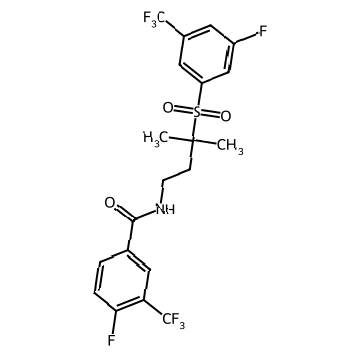 CC(C)(CCNC(=O)c1ccc(F)c(C(F)(F)F)c1)S(=O)(=O)c1cc(F)cc(C(F)(F)F)c1